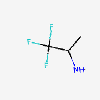 CC([NH])C(F)(F)F